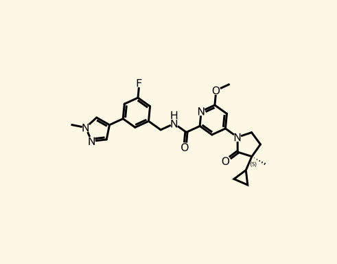 COc1cc(N2CC[C@@](C)(C3CC3)C2=O)cc(C(=O)NCc2cc(F)cc(-c3cnn(C)c3)c2)n1